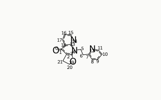 O=c1c2c(n(CCc3ccccn3)c3ncccc13)OCC2